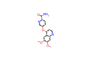 COc1cc2nccc(Oc3ccc(C(N)=O)nc3)c2cc1OC